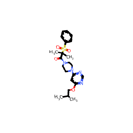 CC(C)COc1cc(N2CCN(C(=O)C(C)(C)S(=O)(=O)c3ccccc3)CC2)ncn1